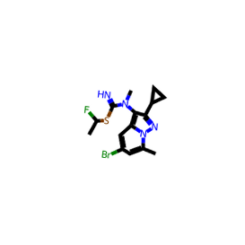 Cc1cc(Br)cc2c(N(C)C(=N)SC(C)F)c(C3CC3)nn12